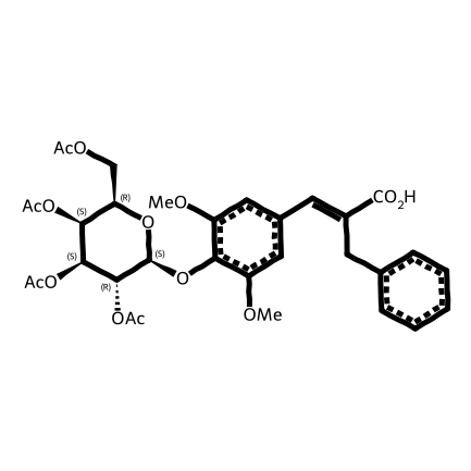 COc1cc(C=C(Cc2ccccc2)C(=O)O)cc(OC)c1O[C@@H]1O[C@H](COC(C)=O)[C@H](OC(C)=O)[C@H](OC(C)=O)[C@H]1OC(C)=O